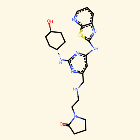 O=C1CCCN1CCNCc1cc(Nc2nc3cccnc3s2)nc(N[C@H]2CC[C@H](O)CC2)n1